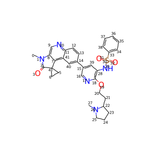 CN1C(=O)C2(CC2)c2c1cnc1ccc(-c3cnc(OCCC4CCCN4C)c(NS(=O)(=O)c4ccccc4)c3)cc21